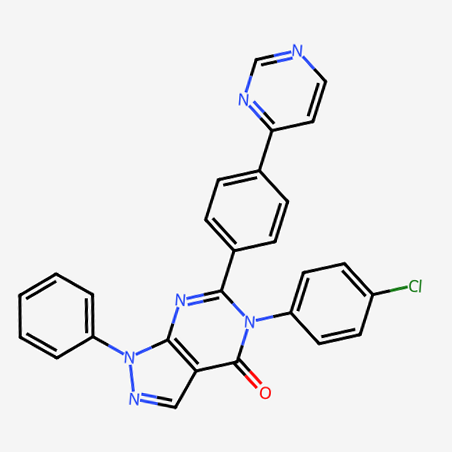 O=c1c2cnn(-c3ccccc3)c2nc(-c2ccc(-c3ccncn3)cc2)n1-c1ccc(Cl)cc1